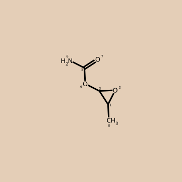 CC1OC1OC(N)=O